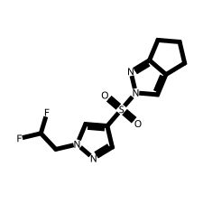 O=S(=O)(c1cnn(CC(F)F)c1)n1cc2c(n1)CCC2